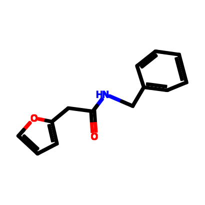 O=C(Cc1ccco1)NCc1ccccc1